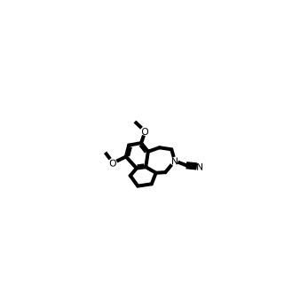 COc1cc(OC)c2c3c1CCCC3CN(C#N)CC2